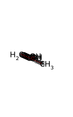 C=COOOOOOOOOCCCCCCCCCCCCCCCC.O=P(O)(O)O